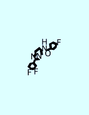 O=C(Nc1ccc2nc(-c3ccc(F)c(F)c3)cn2c1)c1ccc(F)cc1